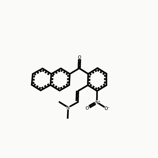 CN(C)C=Cc1c(C(=O)c2ccc3ccccc3c2)cccc1[N+](=O)[O-]